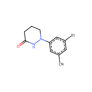 CCc1cc(C#N)cc(N2CCCC(=O)N2)c1